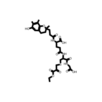 CCOC(=O)C(=O)CSCC(NC(=O)CCC(NC(=O)CCC1(C)CCc2cc(O)c(C)c(C)c2O1)C(=O)O)C(=O)NCC(=O)O